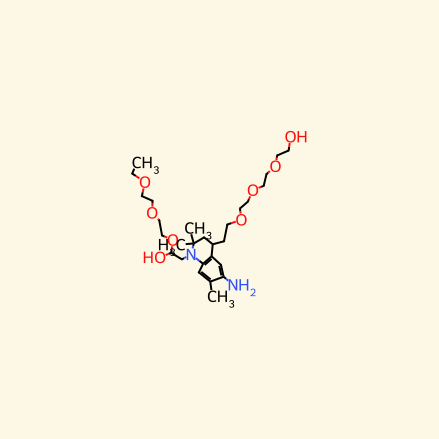 CCOCCOCCOC(O)CN1c2cc(C)c(N)cc2C(CCOCCOCCOCCO)CC1(C)C